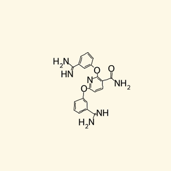 N=C(N)c1cccc(Oc2ccc(C(N)=O)c(Oc3cccc(C(=N)N)c3)n2)c1